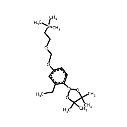 CCc1cc(OCOCC[Si](C)(C)C)ccc1B1OC(C)(C)C(C)(C)O1